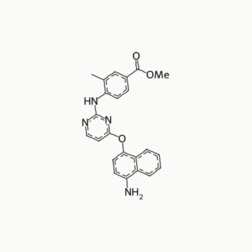 COC(=O)c1ccc(Nc2nccc(Oc3ccc(N)c4ccccc34)n2)c(C)c1